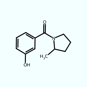 CC1CCCN1C(=O)c1cccc(O)c1